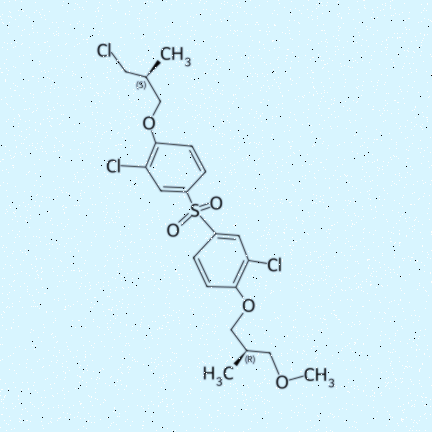 COC[C@@H](C)COc1ccc(S(=O)(=O)c2ccc(OC[C@H](C)CCl)c(Cl)c2)cc1Cl